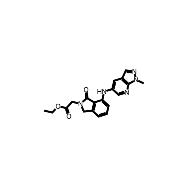 CCOC(=O)CN1Cc2cccc(Nc3cnc4c(cnn4C)c3)c2C1=O